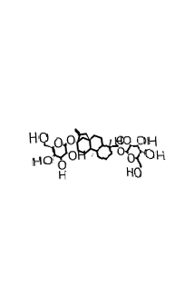 C=C1C[C@@]23CCC4[C@@](C)(CCC[C@@]4(C)C(=O)OC4OC(CO)[C@@H](O)C(O)C4O)C2CC[C@]1(OC1O[C@H](CO)C(O)C(O)[C@H]1O)C3